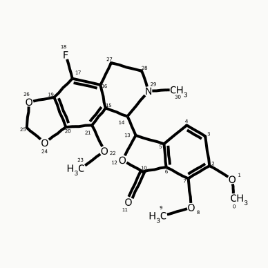 COc1ccc2c(c1OC)C(=O)OC2C1c2c(c(F)c3c(c2OC)OCO3)CCN1C